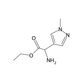 CCOC(=O)C(N)c1cnn(C)c1